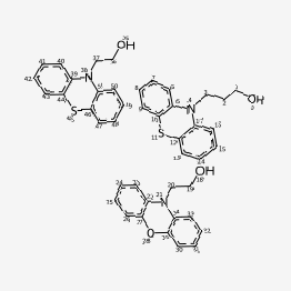 OCCCN1c2ccccc2Sc2ccccc21.OCCN1c2ccccc2Oc2ccccc21.OCCN1c2ccccc2Sc2ccccc21